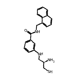 N[C@@H](CS)CNc1cccc(C(=O)NCc2cccc3ccccc23)c1